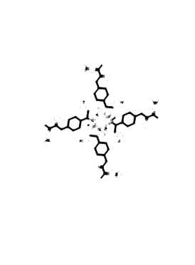 COCC(C1CCC(CC(=O)C(C)=C=O)CC1)[Si]1(C)O[Si](C)(C(COC)C2CCC(CC(=O)C(C)=C=O)CC2)O[Si](C)(C(COC)C2CCC(CC(=O)C(C)=C=O)CC2)O[Si](C)(C(COC)C2CCC(CC(=O)C(C)=C=O)CC2)O1